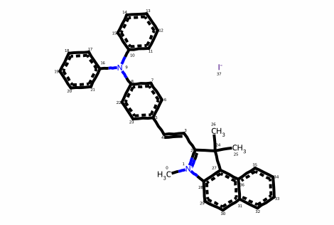 C[N+]1=C(/C=C/c2ccc(N(c3ccccc3)c3ccccc3)cc2)C(C)(C)c2c1ccc1ccccc21.[I-]